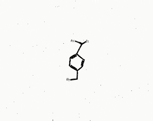 CCC(C(C)=O)c1ccc(CC(C)C)cc1